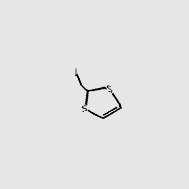 IC1SC=CS1